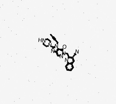 CC#CCn1c(N2CCNCC2)nc2cnn(Cc3nc4ccccc4cc3C#N)c(=O)c21